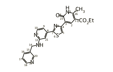 CCOC(=O)c1cc(-c2csc(-c3ccnc(NCc4cccnc4)c3)n2)c(=O)[nH]c1C